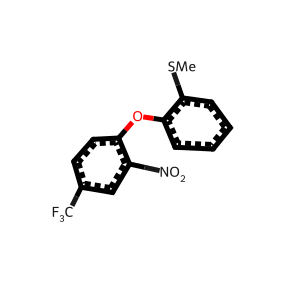 CSc1ccccc1Oc1ccc(C(F)(F)F)cc1[N+](=O)[O-]